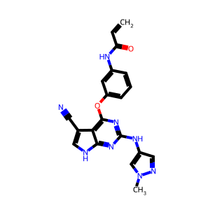 C=CC(=O)Nc1cccc(Oc2nc(Nc3cnn(C)c3)nc3[nH]cc(C#N)c23)c1